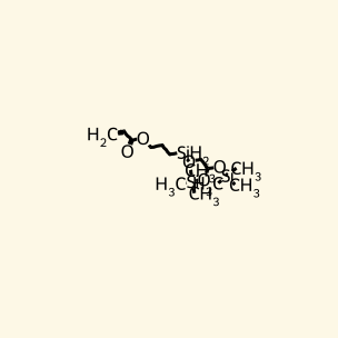 C=CC(=O)OCCC[SiH2]OCC(O[Si](C)(C)C)O[Si](C)(C)C